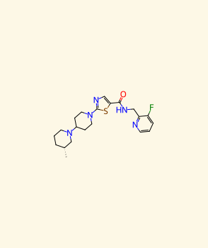 C[C@@H]1CCCN(C2CCN(c3ncc(C(=O)NCc4ncccc4F)s3)CC2)C1